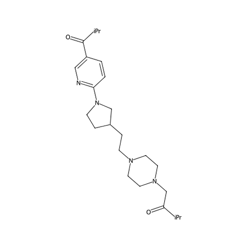 CC(C)C(=O)CN1CCN(CCC2CCN(c3ccc(C(=O)C(C)C)cn3)C2)CC1